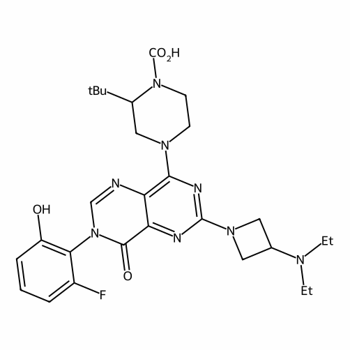 CCN(CC)C1CN(c2nc(N3CCN(C(=O)O)C(C(C)(C)C)C3)c3ncn(-c4c(O)cccc4F)c(=O)c3n2)C1